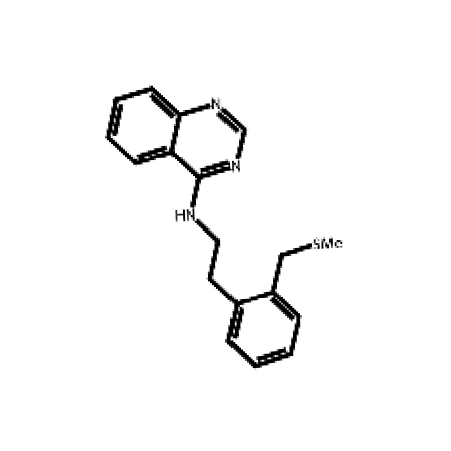 CSCc1ccccc1CCNc1ncnc2ccccc12